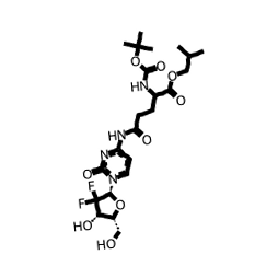 CC(C)COC(=O)C(CCC(=O)Nc1ccn([C@@H]2O[C@H](CO)[C@H](O)C2(F)F)c(=O)n1)NC(=O)OC(C)(C)C